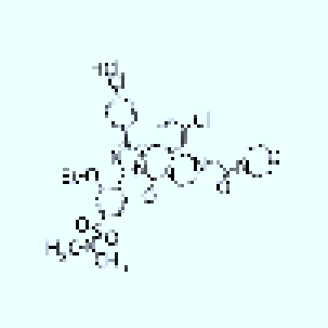 CCOc1cc(S(=O)(=O)N(C)C)ccc1C1=N[C@@H](c2ccc(Cl)cc2)[C@@H](c2ccc(Cl)cc2)N1C(=O)N1CCN(CC(=O)N2CCOCC2)CC1.Cl